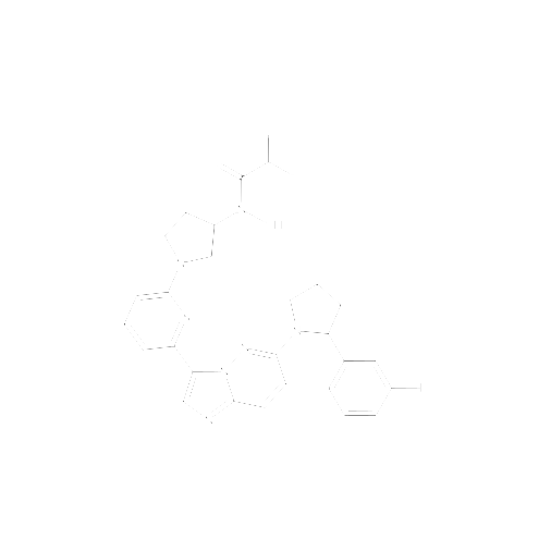 CC(F)C(=O)N(C)C1CCN(c2cccc(-c3cnc4ccc(N5CCCC5c5cccc(F)c5)nn34)n2)C1